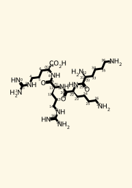 N=C(N)NCCC[C@H](NC(=O)[C@H](CCCNC(=N)N)NC(=O)[C@H](CCCCN)NC(=O)[C@@H](N)CCCCN)C(=O)O